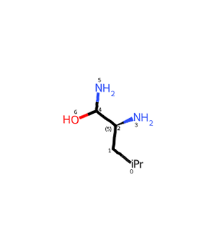 CC(C)C[C@H](N)C(N)O